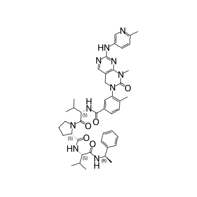 Cc1ccc(Nc2ncc3c(n2)N(C)C(=O)N(c2cc(C(=O)N[C@H](C(=O)N4CCC[C@H]4C(=O)N[C@H](C(=O)N[C@H](C)c4ccccc4)C(C)C)C(C)C)ccc2C)C3)cn1